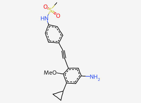 COc1c(C#Cc2ccc(NS(C)(=O)=O)cc2)cc(N)cc1C1CC1